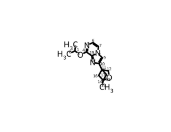 CC(C)Oc1nccn2cc(C34COC(C)(C3)C4)nc12